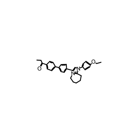 CCOc1ccc(-n2cc(-c3ccc(-c4ccc(C(=O)CC)cc4)cc3)[n+]3c2CCCCC3)cc1